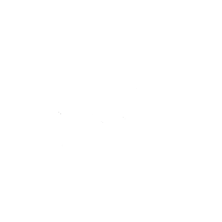 COC(=O)c1cnc2nc(-c3cncc(F)c3)sc2c1